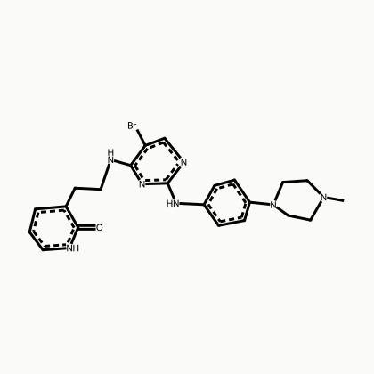 CN1CCN(c2ccc(Nc3ncc(Br)c(NCCc4ccc[nH]c4=O)n3)cc2)CC1